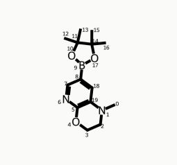 CN1CCOc2ncc(B3OC(C)(C)C(C)(C)O3)cc21